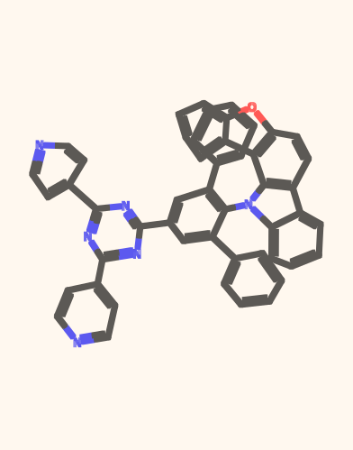 c1ccc(-c2cc(-c3nc(-c4ccncc4)nc(-c4ccncc4)n3)cc(-c3ccccc3)c2-n2c3ccccc3c3ccc4oc5ccccc5c4c32)cc1